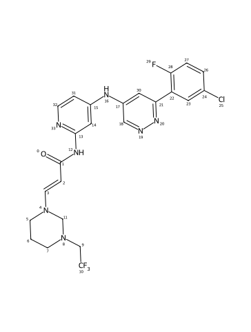 O=C(C=CN1CCCN(CC(F)(F)F)C1)Nc1cc(Nc2cnnc(-c3cc(Cl)ccc3F)c2)ccn1